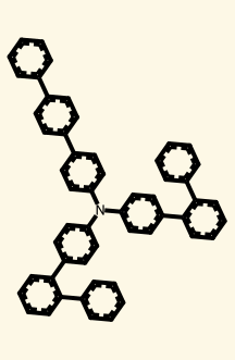 c1ccc(-c2ccc(-c3ccc(N(c4ccc(-c5ccccc5-c5ccccc5)cc4)c4ccc(-c5ccccc5-c5ccccc5)cc4)cc3)cc2)cc1